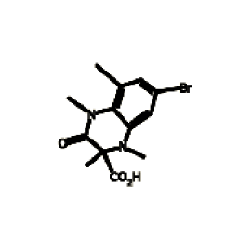 Cc1cc(Br)cc2c1N(C)C(=O)C(C)(C(=O)O)N2C